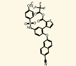 COc1ccc(S(=O)(=O)Nc2ccc(Oc3ccc4cc(C#N)ccc4c3)c(-c3ccsc3C(=O)OC(=O)C(F)(F)F)c2)cc1